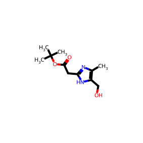 Cc1nc(CC(=O)OC(C)(C)C)[nH]c1CO